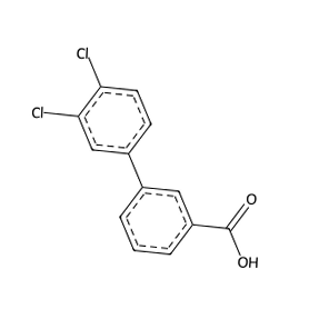 O=C(O)c1cccc(-c2ccc(Cl)c(Cl)c2)c1